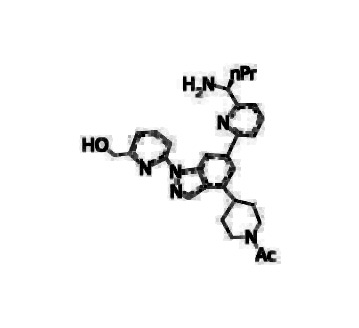 CCC[C@H](N)c1cccc(-c2cc(C3CCN(C(C)=O)CC3)c3cnn(-c4cccc(CO)n4)c3c2)n1